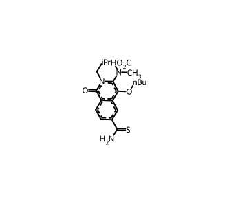 CCCCOc1c(N(C)C(=O)O)n(CC(C)C)c(=O)c2ccc(C(N)=S)cc12